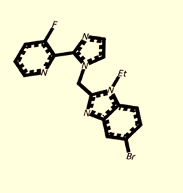 CCn1c(Cn2ccnc2-c2ncccc2F)nc2cc(Br)ccc21